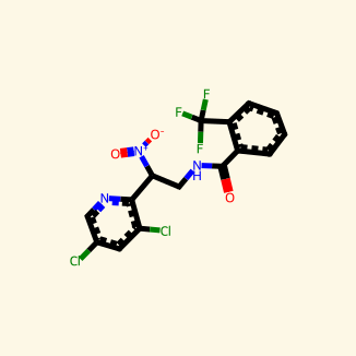 O=C(NCC(c1ncc(Cl)cc1Cl)[N+](=O)[O-])c1ccccc1C(F)(F)F